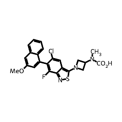 COc1cc(-c2c(Cl)cc3c(N4CC(N(C)C(=O)O)C4)snc3c2F)c2ccccc2c1